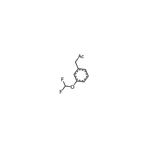 CC(=O)Cc1cccc(OC(F)F)c1